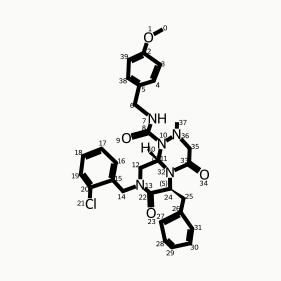 COc1ccc(CNC(=O)N2[C@H]3CN(Cc4ccccc4Cl)C(=O)[C@H](Cc4ccccc4)N3C(=O)CN2C)cc1